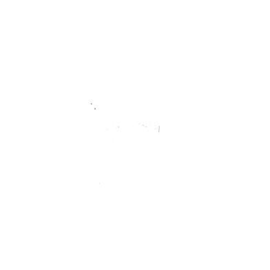 C=CCOC1(C#N)C=CC(c2ccccc2)=CC1